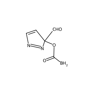 BC(=O)OC1(C=O)C=CN=N1